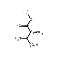 CCCCOC(=O)[C@@H](N)C(N)C(=O)O